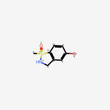 C[SH]1(=O)NCc2cc(Br)ccc21